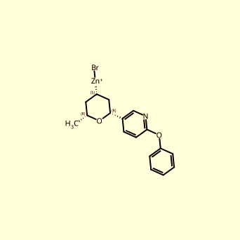 C[C@@H]1C[C@H]([Zn+][Br])C[C@H](c2ccc(Oc3ccccc3)nc2)O1